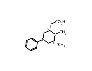 C[C@@H]1CN(c2ccccc2)C[C@H](CC(=O)O)N1C